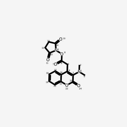 CN(C)c1c(CC(=O)ON2C(=O)CCC2=O)c2ccccc2oc1=O